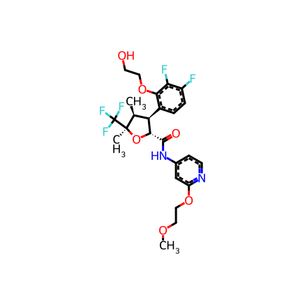 COCCOc1cc(NC(=O)[C@@H]2O[C@@](C)(C(F)(F)F)[C@@H](C)[C@H]2c2ccc(F)c(F)c2OCCO)ccn1